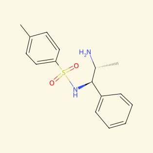 Cc1ccc(S(=O)(=O)N[C@H](c2ccccc2)[C@@H](C)N)cc1